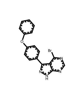 Brc1ncnc2[nH]nc(-c3ccc(Oc4ccccc4)cc3)c12